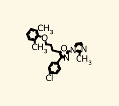 Cc1cccc(C)c1OCCCc1oc(-n2ccnc2C)nc1-c1ccc(Cl)cc1